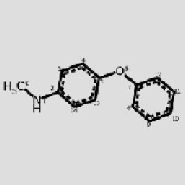 CNc1ccc(Oc2ccccc2)cc1